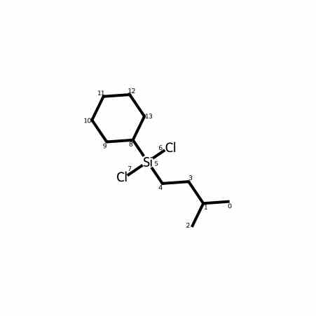 CC(C)CC[Si](Cl)(Cl)C1CCCCC1